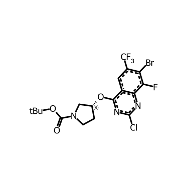 CC(C)(C)OC(=O)N1CC[C@@H](Oc2nc(Cl)nc3c(F)c(Br)c(C(F)(F)F)cc23)C1